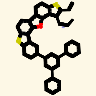 C=Cc1sc2ccc3c4ccc5sc6ccc(-c7cc(-c8ccccc8)cc(-c8ccccc8)c7)cc6c5c4oc3c2c1/C=C\C